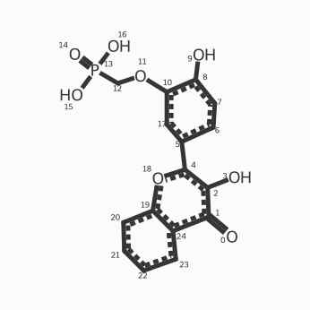 O=c1c(O)c(-c2ccc(O)c(OCP(=O)(O)O)c2)oc2ccccc12